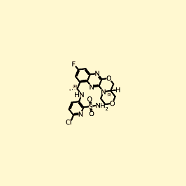 C[C@@H](Nc1ccc(Cl)nc1S(N)(=O)=O)c1cc(F)cc2nc3c(nc12)N1CCOC[C@H]1CO3